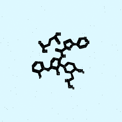 CNC[C@H]1CN(c2c(NC(=O)c3ccn(-c4ccnnc4)n3)ccc(Oc3ccccc3F)c2Cl)CCN1C.O=C(O)CCC(=O)O